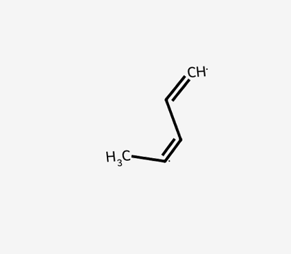 [CH]=C/C=[C]\C